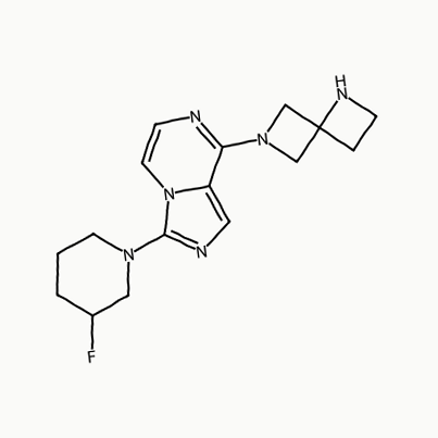 FC1CCCN(c2ncc3c(N4CC5(CCN5)C4)nccn23)C1